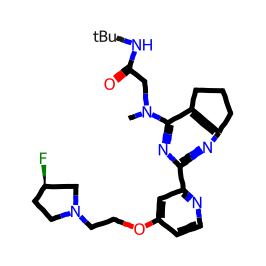 CN(CC(=O)NC(C)(C)C)c1nc(-c2cc(OCCN3CC[C@@H](F)C3)ccn2)nc2c1CCC2